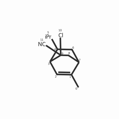 CC1=CC2C(C(C)C)CC1CC2(Cl)C#N